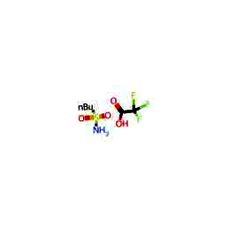 CCCCS(N)(=O)=O.O=C(O)C(F)(F)F